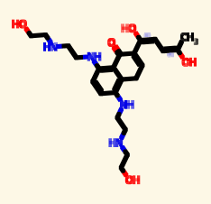 C/C(O)=C\C=C(\O)C1=CCc2c(NCCNCCO)ccc(NCCNCCO)c2C1=O